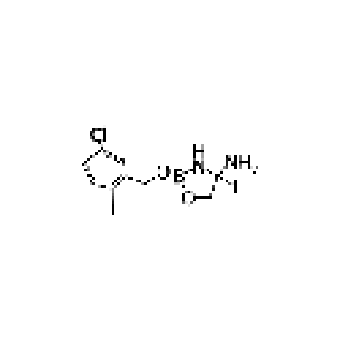 Cc1ccc(Cl)cc1COB1NC(N)(I)CO1